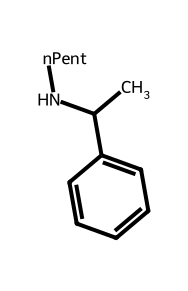 CCCCCNC(C)c1ccccc1